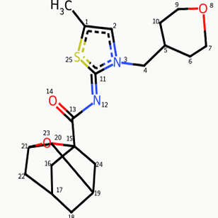 Cc1cn(CC2CCOCC2)/c(=N/C(=O)C23CC4CC(CC(C4)O2)C3)s1